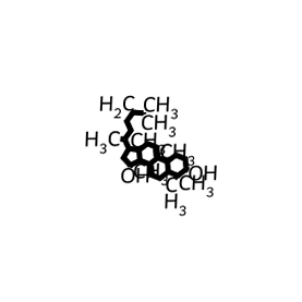 C=C(CCC(C)C1CC(O)C2(C)C3=CCC4C(C)(CCC(O)C4(C)C)C3=CCC12C)C(C)C